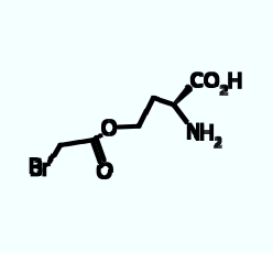 N[C@@H](CCOC(=O)CBr)C(=O)O